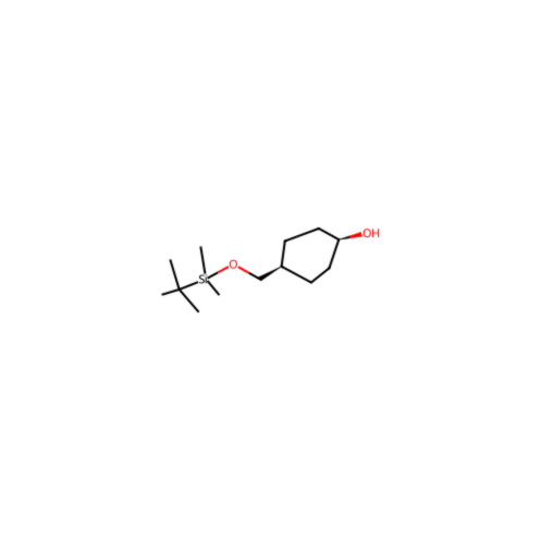 CC(C)(C)[Si](C)(C)OC[C@H]1CC[C@@H](O)CC1